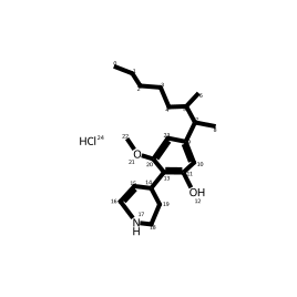 CCCCCC(C)C(C)c1cc(O)c(C2C=CNCC2)c(OC)c1.Cl